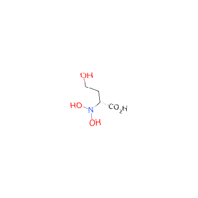 O=C(O)[C@@H](CCO)N(O)O